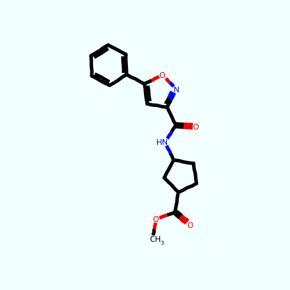 COC(=O)C1CCC(NC(=O)c2cc(-c3ccccc3)on2)C1